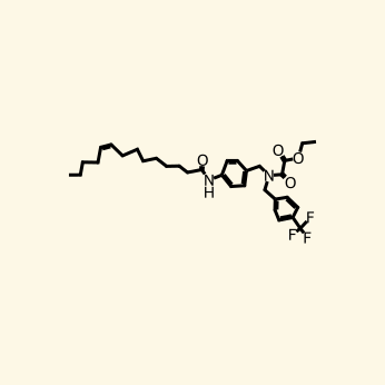 CCCC/C=C\CCCCCCCC(=O)Nc1ccc(CN(Cc2ccc(C(F)(F)F)cc2)C(=O)C(=O)OCC)cc1